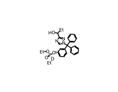 CCC(O)c1ncn(C(c2ccccc2)(c2ccccc2)c2ccccc2)n1.CCOP(=O)(O)OCC